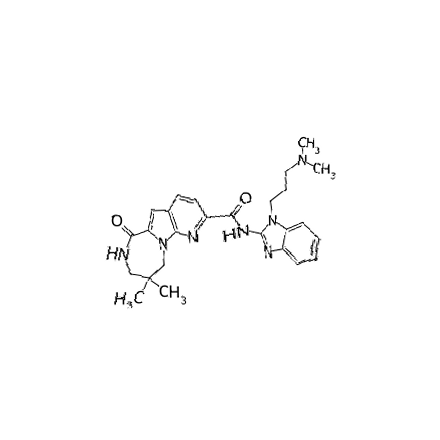 CN(C)CCCn1c(NC(=O)c2ccc3cc4n(c3n2)CC(C)(C)CNC4=O)nc2ccccc21